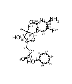 CC1(F)[C@@H](O)[C@@H](CO[PH](=O)Oc2ccccc2)O[C@H]1n1cc(F)c(N)nc1=O